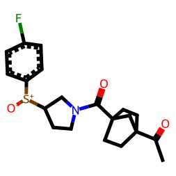 CC(=O)C12CCC(C(=O)N3CCC([S+]([O-])c4ccc(F)cc4)C3)(CC1)C2